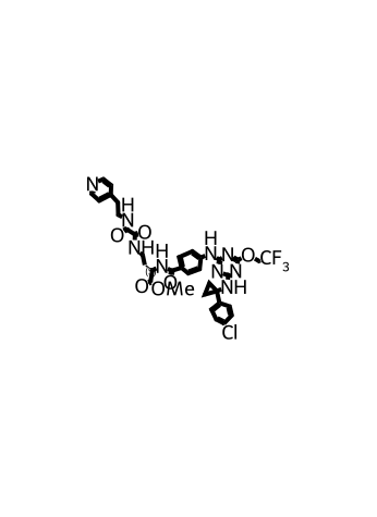 COC(=O)[C@H](CCNC(=O)C(=O)NCCc1ccncc1)NC(=O)c1ccc(Nc2nc(NC3(c4ccc(Cl)cc4)CC3)nc(OCC(F)(F)F)n2)cc1